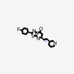 O=c1cc(/C=C/c2cccnc2)nc2sc(-c3ccc(F)cc3)nn12